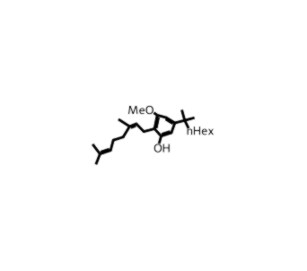 CCCCCCC(C)(C)c1cc(O)c(CC=C(C)CCC=C(C)C)c(OC)c1